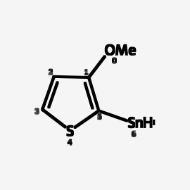 COc1ccs[c]1[SnH]